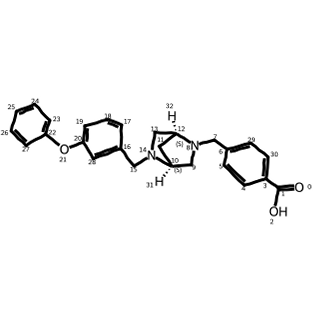 O=C(O)c1ccc(CN2C[C@@H]3C[C@H]2CN3Cc2cccc(Oc3ccccc3)c2)cc1